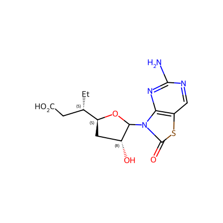 CC[C@@H](CC(=O)O)[C@@H]1C[C@@H](O)C(n2c(=O)sc3cnc(N)nc32)O1